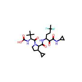 CC(F)(F)CCC(NC(=O)C1C(C2CC2)CCN1C(=O)[C@@H](NC(=O)O)C(C)(C)C)C(=O)C(=O)NC1CC1